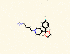 NCCCCN1CCC(C2(c3ccc(F)cc3)OCCO2)CC1